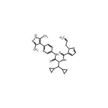 C=CCn1nccc1C(=O)N[C@H](C(=O)Nc1ccc(-c2c(C)n[nH]c2C)nc1)C(C1CC1)C1CC1